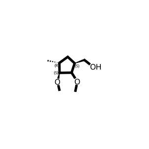 COC1[C@H](CO)C[C@@H](C)[C@@H]1OC